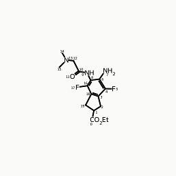 CCOC(=O)C1Cc2c(F)c(N)c(NC(=O)CN(C)C)c(F)c2C1